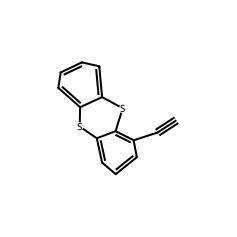 C#Cc1cccc2c1Sc1ccccc1S2